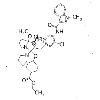 CCOC(=O)C1CCC(OC(C(=O)Cc2cc(Cl)c(NC(=O)c3cn(C)c4ccccc34)cc2Cl)(N2CCCC2)N2CCCC2(OC)OC)CC1